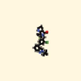 [2H]C1([2H])c2ncccc2C(=O)N1Cc1c(F)cc(-c2cccc3nn(C([2H])([2H])[2H])cc23)cc1Cl